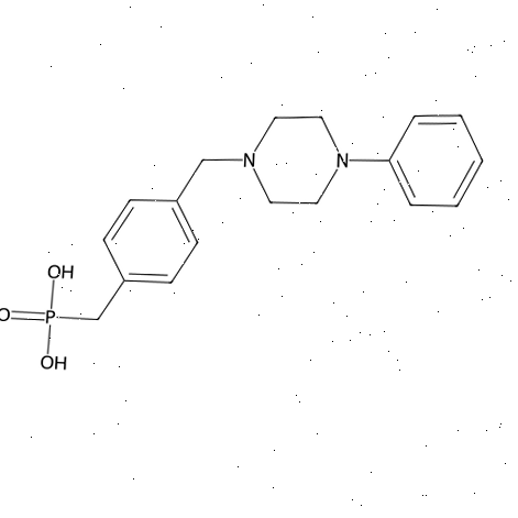 O=P(O)(O)Cc1ccc(CN2CCN(c3ccccc3)CC2)cc1